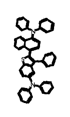 c1ccc(-c2c(-c3ccc(N(c4ccccc4)c4ccccc4)c4ccccc34)sc3ccc(N(c4ccccc4)c4ccccc4)cc23)cc1